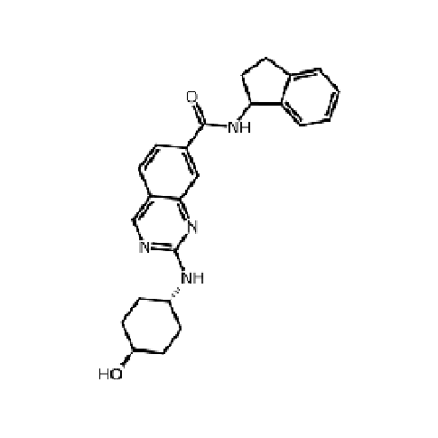 O=C(NC1CCc2ccccc21)c1ccc2cnc(N[C@H]3CC[C@H](O)CC3)nc2c1